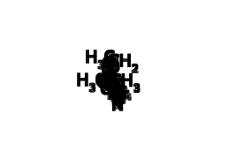 C=C(C)OC(=O)Oc1ccc([C@]2(C)C(=O)N(c3ccc(C#N)c(C(F)(F)F)c3)C(=O)N2COC)cc1